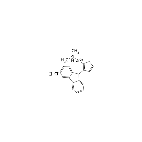 C[SiH](C)[Zr+2][C]1=C(C2c3ccccc3-c3ccccc32)C=CC1.[Cl-].[Cl-]